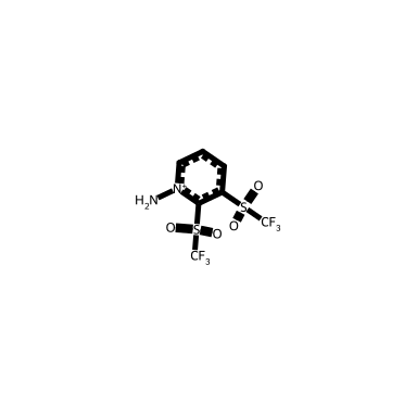 N[n+]1cccc(S(=O)(=O)C(F)(F)F)c1S(=O)(=O)C(F)(F)F